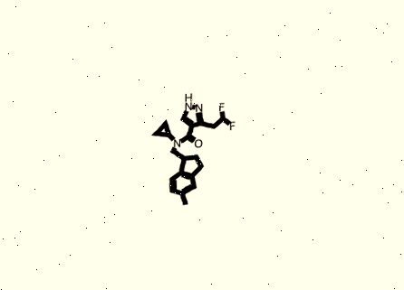 Cc1ccc2c(c1)CCC2CN(C(=O)c1c[nH]nc1CC(F)F)C1CC1